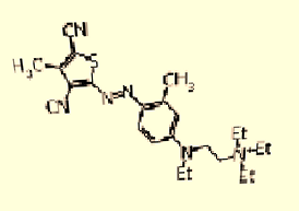 [C-]#[N+]c1c(/N=N/c2ccc(N(CC)CC[N+](CC)(CC)CC)cc2C)sc(C#N)c1C